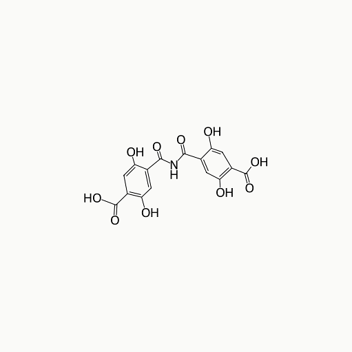 O=C(O)c1cc(O)c(C(=O)NC(=O)c2cc(O)c(C(=O)O)cc2O)cc1O